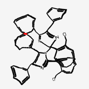 ClC1=C(C2(n3c(-c4ccccc4Cl)nc(-c4ccccc4)c3C3=CC=CCC3)N=C(c3ccccc3)C(c3ccccc3)=N2)C#CCC=C1